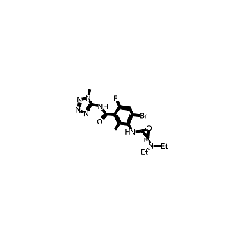 CCN(CC)[C@@H]1OC1Nc1c(Br)cc(F)c(C(=O)Nc2nnnn2C)c1C